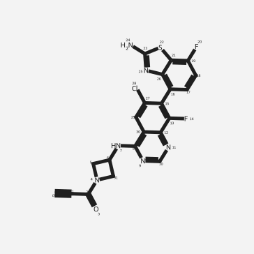 C#CC(=O)N1CC(Nc2ncnc3c(F)c(-c4ccc(F)c5sc(N)nc45)c(Cl)cc23)C1